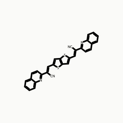 N#C/C(=C\c1cc2sc(/C=C(\C#N)c3ccc4ccccc4n3)cc2s1)c1ccc2ccccc2n1